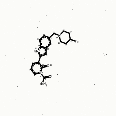 NC(=O)n1c[c]cc(-c2cc3cc(CN4CCC(F)CC4)ccc3[nH]2)c1=O